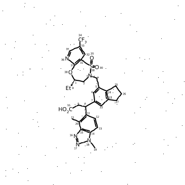 CC[C@@H]1CN(Cc2cc(C(CC(=O)O)c3ccc4c(nnn4C)c3C)cc3c2CCC3)S(=O)(=O)c2cc(C(F)(F)F)cnc2O1